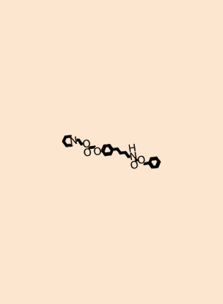 O=C(COc1ccc(CCCCNC(=O)OCc2ccccc2)cc1)OCCN1CCCCC1